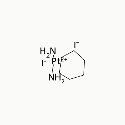 C1CCCCC1.[I-].[I-].[NH2][Pt+2][NH2]